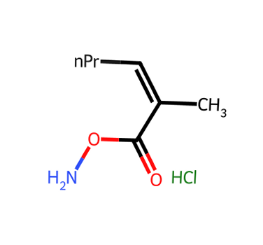 CCCC=C(C)C(=O)ON.Cl